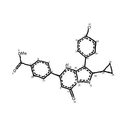 COC(=O)c1ccc(-c2cc(=O)n3nc(C4CC4)c(-c4ccc(Cl)cc4)c3[nH]2)cc1